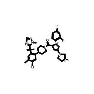 Cc1cc(C(C)(C)c2ncnn2C)c(C2CCN(C(=O)C3CC(N4CC[C@H](F)C4)C[C@H]3c3ccc(F)cc3F)CC2)cc1Cl